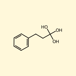 OC(O)(O)CCc1ccccc1